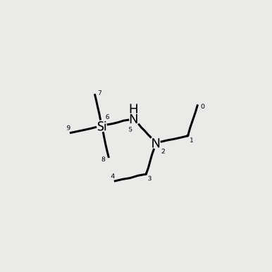 CCN(CC)N[Si](C)(C)C